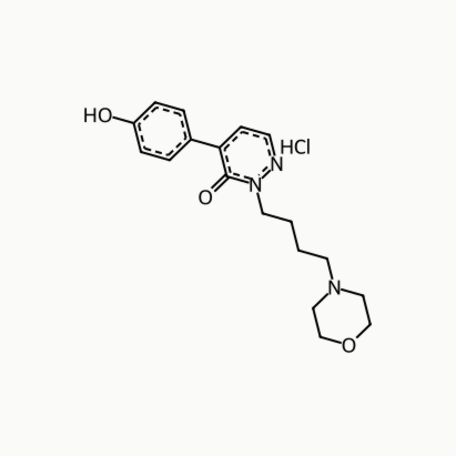 Cl.O=c1c(-c2ccc(O)cc2)ccnn1CCCCN1CCOCC1